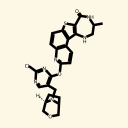 CC1CNc2c(sc3ccc4nc(Oc5nc(Cl)ncc5CN5C6CC[C@@H]5COC6)ccc4c23)C(=O)N1